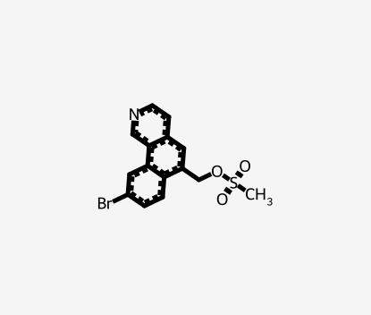 CS(=O)(=O)OCc1cc2ccncc2c2cc(Br)ccc12